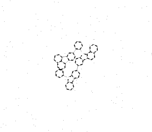 c1ccc(-n2c3ccccc3c3ccc(-c4ccc5c(c4)c4ccc6ccccc6c4n5-c4ccccc4-c4ccc5c(c4)-c4cccc6cccc-5c46)cc32)cc1